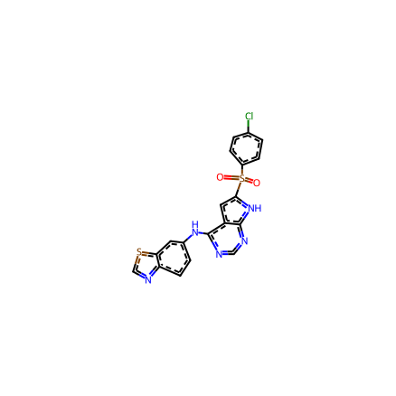 O=S(=O)(c1ccc(Cl)cc1)c1cc2c(Nc3ccc4ncsc4c3)ncnc2[nH]1